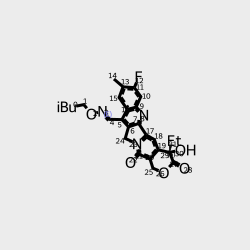 CCC(C)CO/N=C/c1c2c(nc3cc(F)c(C)cc13)-c1cc3c(c(=O)n1C2)COC(=O)[C@]3(O)CC